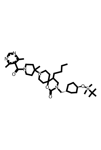 CCCCC1CN(C[C@H]2CC[C@H](O[Si](C)(C)C(C)(C)C)CC2)C(=O)OC12CCN(C1(C)CCN(C(=O)c3c(C)ncnc3C)CC1)CC2